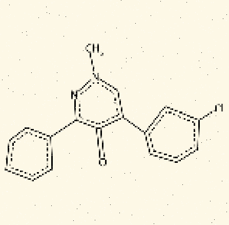 Cn1cc(-c2cccc(Cl)c2)c(=O)c(-c2ccccc2)n1